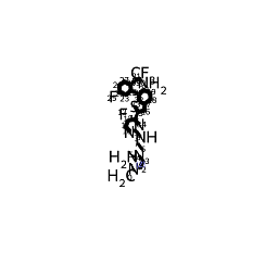 C=N/C=C\N(N)CCNc1ncc(F)c(-c2cc3cccc(-c4cc(F)ccc4[C@@H](N)C(F)(F)F)c3s2)n1